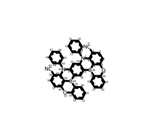 N#Cc1ccc2c3c1N(c1ccccc1)c1cc4c(cc1B3c1ccccc1O2)B1c2ccccc2Oc2ccc(C#N)c(c21)N4c1ccccc1